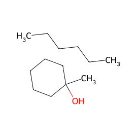 CC1(O)CCCCC1.CCCCCC